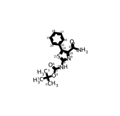 CC(C)(C)OC(=O)Nc1nc(C(N)=O)c(-c2ccccc2)s1